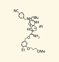 CCc1ccc(COC[C@H](N)[C@@H](O)C[C@H](C(=O)N[C@H](C(=O)NCc2ccc(C#N)cc2)[C@@H](C)CC)C(C)C)cc1OCCCOC